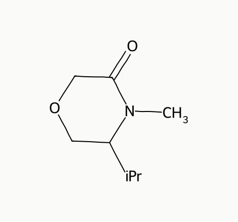 CC(C)C1COCC(=O)N1C